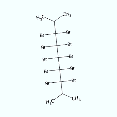 CC(C)C(Br)(Br)C(Br)(Br)C(Br)(Br)C(Br)(Br)C(Br)(Br)C(C)C